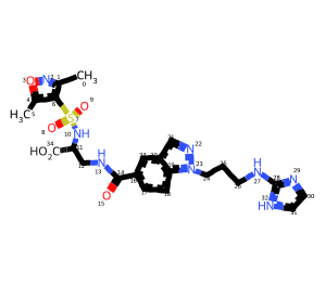 Cc1noc(C)c1S(=O)(=O)NC(CNC(=O)c1ccc2c(cnn2CCCNc2ncc[nH]2)c1)C(=O)O